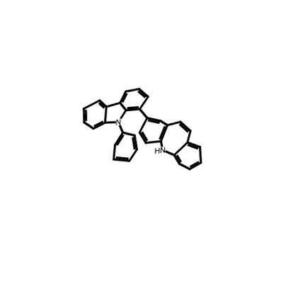 C1=Cc2cc(-c3cccc4c5ccccc5n(-c5ccccc5)c34)ccc2Nc2ccccc21